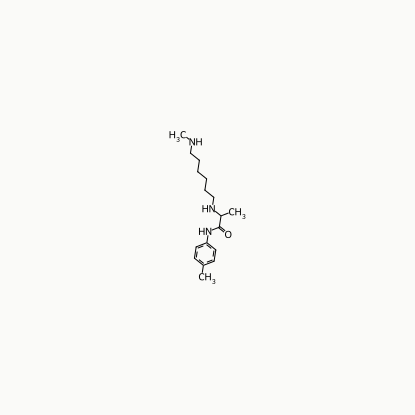 CNCCCCCCNC(C)C(=O)Nc1ccc(C)cc1